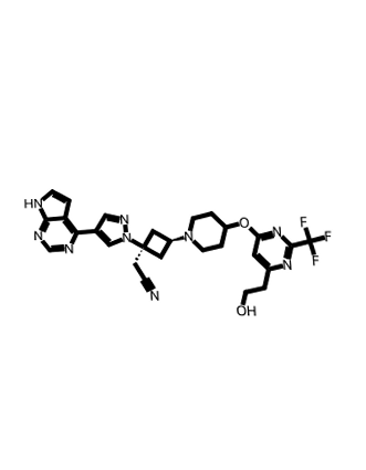 N#CC[C@]1(n2cc(-c3ncnc4[nH]ccc34)cn2)C[C@@H](N2CCC(Oc3cc(CCO)nc(C(F)(F)F)n3)CC2)C1